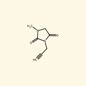 C#CCN1C(=O)CN(C)C1=O